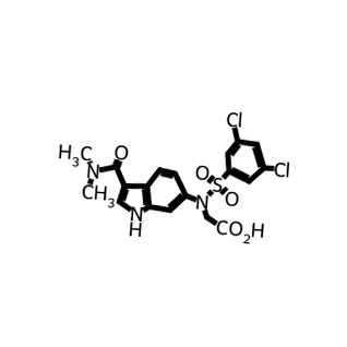 CN(C)C(=O)c1c[nH]c2cc(N(CC(=O)O)S(=O)(=O)c3cc(Cl)cc(Cl)c3)ccc12